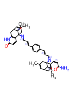 C/C=C1\C2C=C(C)CC1(/N=C\C=C\c1ccc(/C=C/C=N/C34CC(C)=CC(Cc5[nH]c(=O)ccc53)/C4=C\C)cc1)C(/C=C\C(N)=O)=CC2